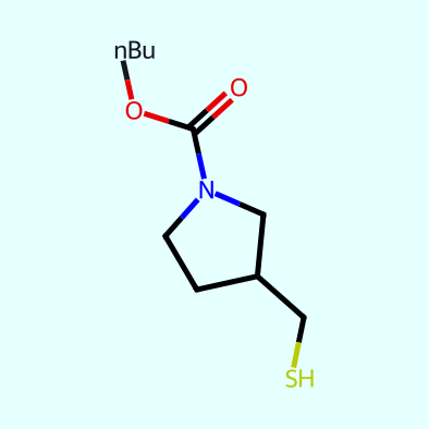 CCCCOC(=O)N1CCC(CS)C1